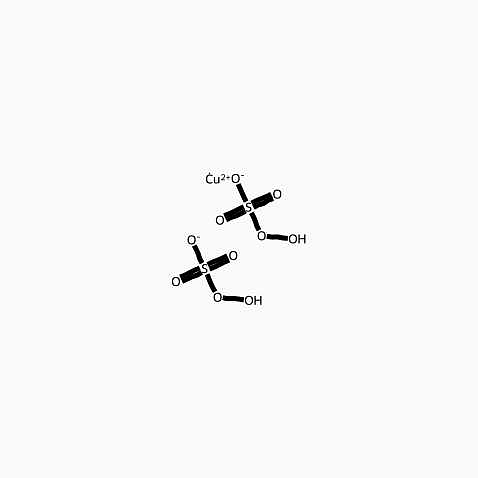 O=S(=O)([O-])OO.O=S(=O)([O-])OO.[Cu+2]